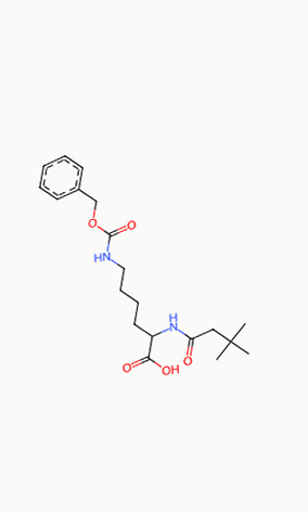 CC(C)(C)CC(=O)NC(CCCCNC(=O)OCc1ccccc1)C(=O)O